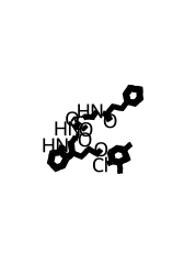 Cc1cc(C)c(Cl)c(OCCCc2c(C(=O)NS(=O)(=O)CCNC(=O)CCc3ccccc3)[nH]c3ccccc23)c1